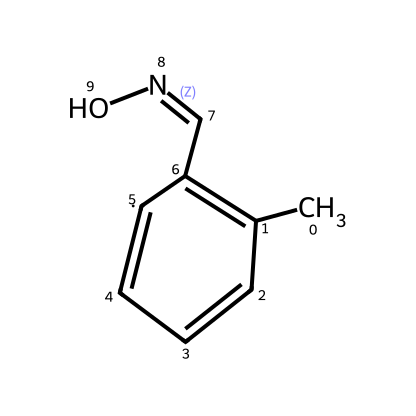 Cc1ccc[c]c1/C=N\O